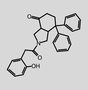 O=C1CCC(c2ccccc2)(c2ccccc2)C2CN(C(=O)Cc3ccccc3O)CC12